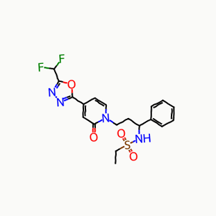 CCS(=O)(=O)NC(CCn1ccc(-c2nnc(C(F)F)o2)cc1=O)c1ccccc1